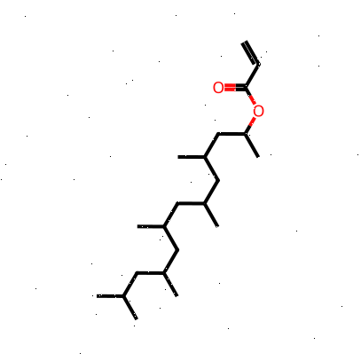 C=CC(=O)OC(C)CC(C)CC(C)CC(C)CC(C)CC(C)C